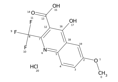 COc1ccc2nc(C(F)(F)F)c(C(=O)O)c(O)c2c1.Cl